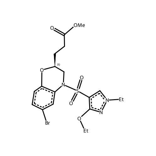 CCOc1nn(CC)cc1S(=O)(=O)N1C[C@H](CCC(=O)OC)Oc2ccc(Br)cc21